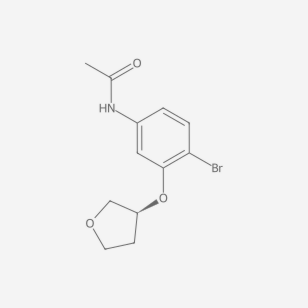 CC(=O)Nc1ccc(Br)c(O[C@H]2CCOC2)c1